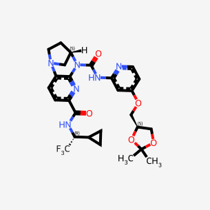 CC1(C)OC[C@H](COc2ccnc(NC(=O)N3c4nc(C(=O)N[C@H](C5CC5)C(F)(F)F)ccc4N4CC[C@H]3C4)c2)O1